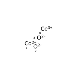 [Ce+3].[Co+2].[O-2].[O-2]